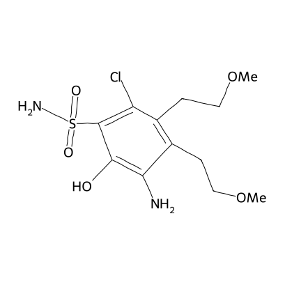 COCCc1c(N)c(O)c(S(N)(=O)=O)c(Cl)c1CCOC